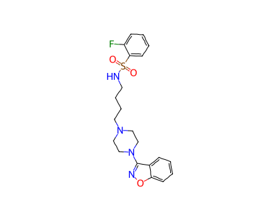 O=S(=O)(NCCCCN1CCN(c2noc3ccccc23)CC1)c1ccccc1F